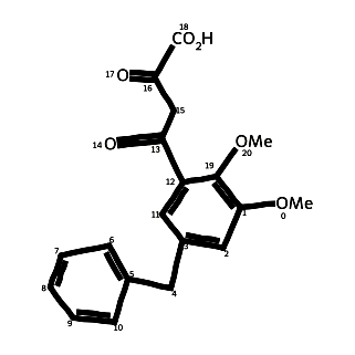 COc1cc(Cc2ccccc2)cc(C(=O)CC(=O)C(=O)O)c1OC